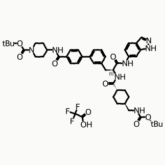 CC(C)(C)OC(=O)NC[C@H]1CC[C@H](C(=O)N[C@@H](Cc2cccc(-c3ccc(C(=O)NC4CCN(C(=O)OC(C)(C)C)CC4)cc3)c2)C(=O)Nc2ccc3cn[nH]c3c2)CC1.O=C(O)C(F)(F)F